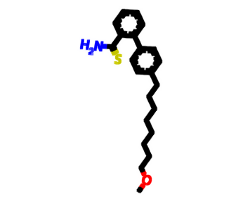 COCCCCCCCCc1ccc(-c2ccccc2C(N)=S)cc1